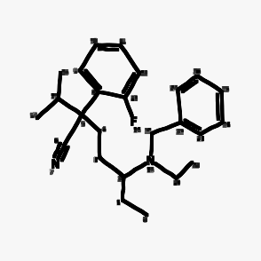 CCC(CCC(C#N)(c1ccccc1F)C(C)C)N(CC)Cc1ccccc1